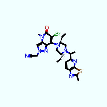 CC[C@H]1CN(C(C)c2ccc3nc(C)sc3n2)[C@H](CC)CN1c1c(Br)c(=O)n(C)c2cn(CC#N)nc12